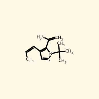 C=C(N)c1c(/C=C\C)cnn1C(C)(C)C